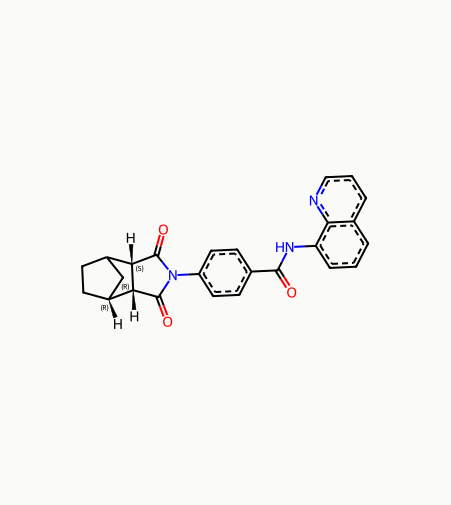 O=C(Nc1cccc2cccnc12)c1ccc(N2C(=O)[C@@H]3[C@@H]4CCC(C4)[C@@H]3C2=O)cc1